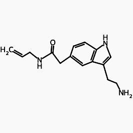 C=CCNC(=O)Cc1ccc2[nH]cc(CCN)c2c1